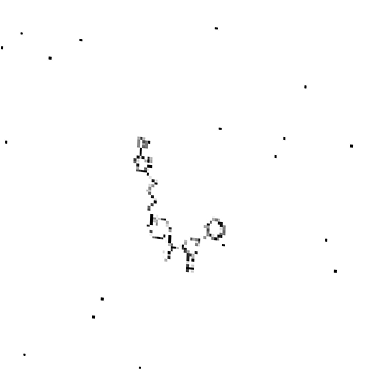 O=C(c1cc(-c2ccccc2)c[nH]1)N1CCN(CCCSc2ccc(Br)s2)CC1